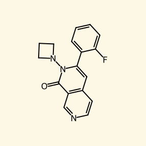 O=c1c2cnccc2cc(-c2ccccc2F)n1N1CCC1